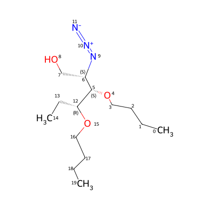 CCCCO[C@@H]([C@H](CO)N=[N+]=[N-])[C@@H](CC)OCCCC